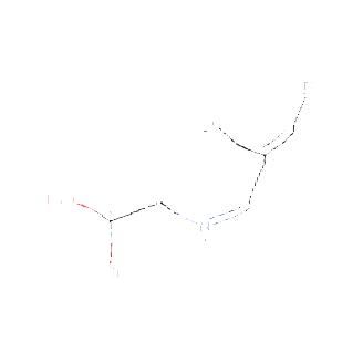 CC/C=C(/C=N\CC(O)Br)CC